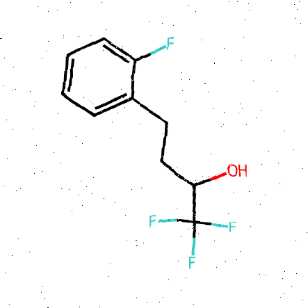 OC(CCc1ccccc1F)C(F)(F)F